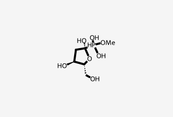 CO[PH](O)(O)[C@]1(O)C[C@H](O)[C@@H](CO)O1